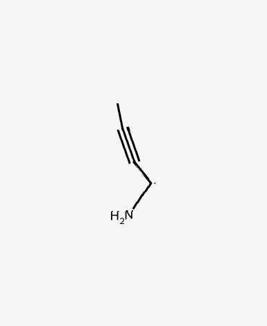 CC#C[CH]N